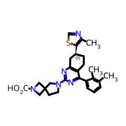 Cc1cccc(-c2nc(N3CCC4(CN(C(=O)O)C4)C3)nc3c2CC[C@H](c2scnc2C)C3)c1C